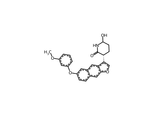 COc1cccc(Oc2ccc3cc4occ([C@H]5CCC(O)NC5=O)c4cc3c2)c1